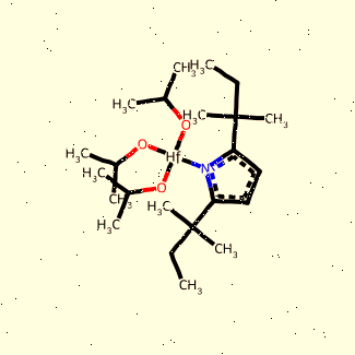 CCC(C)(C)c1ccc(C(C)(C)CC)[n]1[Hf]([O]C(C)C)([O]C(C)C)[O]C(C)C